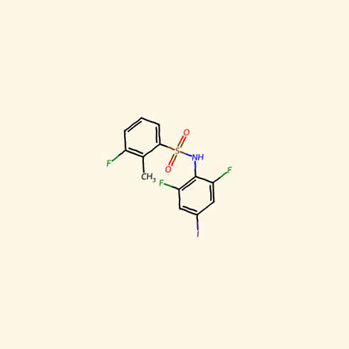 Cc1c(F)cccc1S(=O)(=O)Nc1c(F)cc(I)cc1F